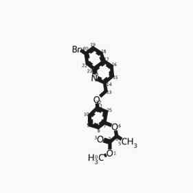 COC(=O)C(C)Oc1cccc(OCc2ccc3ccc(Br)cc3n2)c1